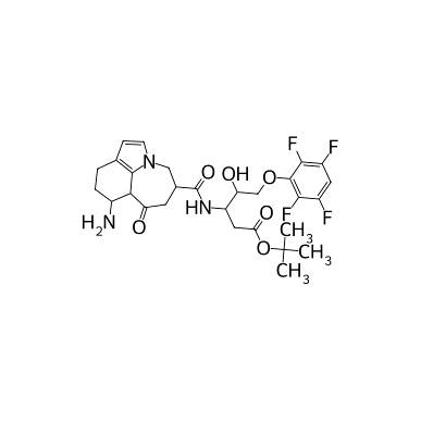 CC(C)(C)OC(=O)CC(NC(=O)C1CC(=O)C2c3c(ccn3C1)CCC2N)C(O)COc1c(F)c(F)cc(F)c1F